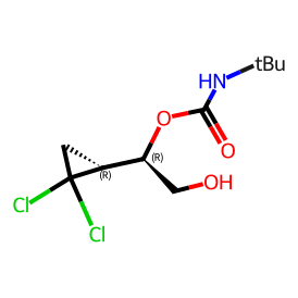 CC(C)(C)NC(=O)O[C@@H](CO)[C@H]1CC1(Cl)Cl